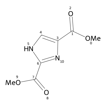 COC(=O)c1c[nH]c(C(=O)OC)n1